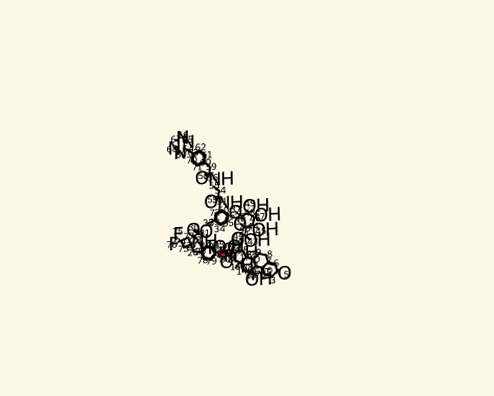 C[C@]12C=CC(=O)C=C1CC[C@@H]1[C@@H]2[C@@H](O)C[C@@]2(C)[C@H]1C[C@H]1O[C@@H](c3ccc(CC4(NC(=O)OCc5ccc(O[C@@H]6O[C@H](C(=O)O)[C@@H](O)[C@H](O)[C@H]6O)c(NC(=O)CCNC(=O)Cc6ccc(-c7nncnn7)cc6)c5)CC(F)(F)C4)cc3)O[C@]12C(=O)CO